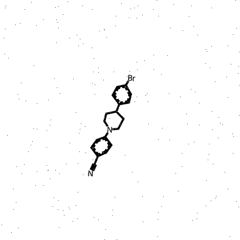 N#Cc1ccc(N2CCC(c3ccc(Br)cc3)CC2)cc1